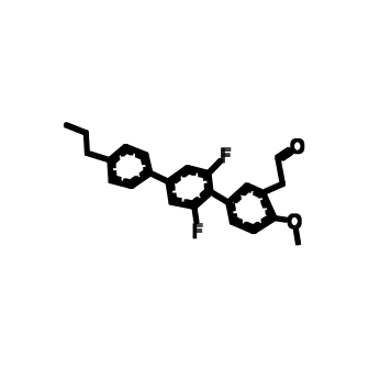 CCCc1ccc(-c2cc(F)c(-c3ccc(OC)c(CC=O)c3)c(F)c2)cc1